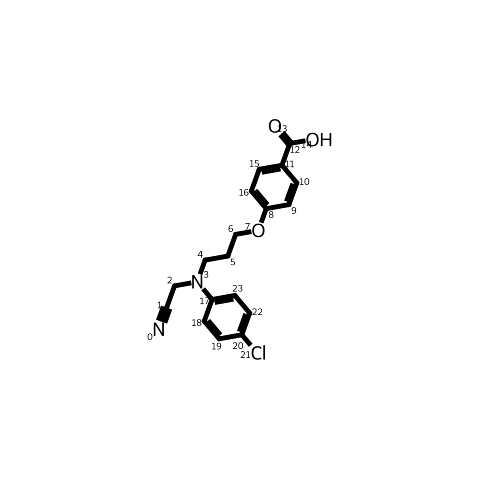 N#CCN(CCCOc1ccc(C(=O)O)cc1)c1ccc(Cl)cc1